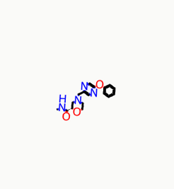 CNC(=O)[C@@H]1CN(Cc2cnc(Oc3ccccc3)cn2)CCO1